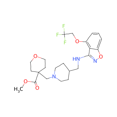 COC(=O)C1(CN2CCC(CNc3noc4cccc(OCC(F)(F)F)c34)CC2)CCOCC1